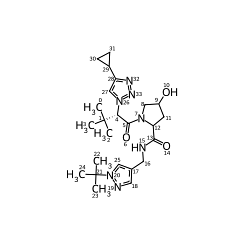 CC(C)(C)[C@@H](C(=O)N1CC(O)CC1C(=O)NCc1cnn(C(C)(C)C)c1)n1cc(C2CC2)nn1